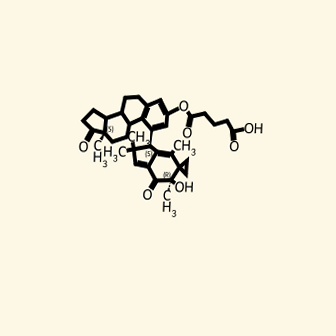 CC1=C2C(=CC(C)(C)[C@H]2c2cc(OC(=O)CCCC(=O)O)cc3c2C2CC[C@]4(C)C(=O)CCC4C2CC3)C(=O)[C@](C)(O)C12CC2